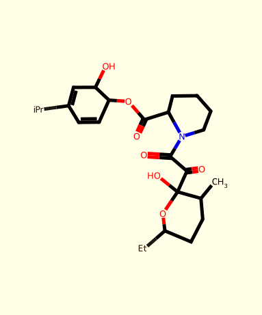 CCC1CCC(C)C(O)(C(=O)C(=O)N2CCCCC2C(=O)OC2C=CC(C(C)C)=CC2O)O1